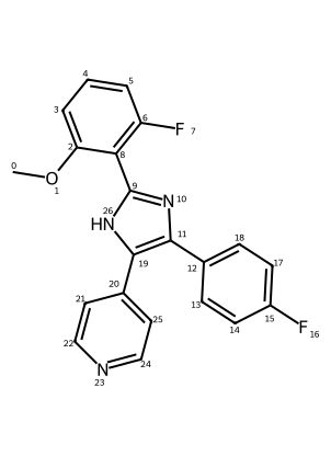 COc1cccc(F)c1-c1nc(-c2ccc(F)cc2)c(-c2ccncc2)[nH]1